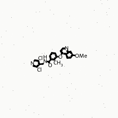 COc1ccc2c(Oc3cccc(C(=O)NCc4c(Cl)cncc4Cl)c3C)ccnc2c1